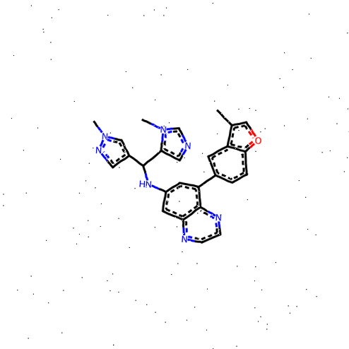 Cc1coc2ccc(-c3cc(NC(c4cnn(C)c4)c4cncn4C)cc4nccnc34)cc12